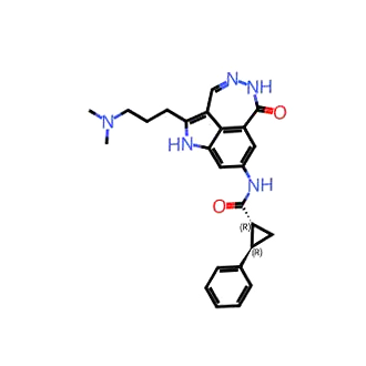 CN(C)CCCc1[nH]c2cc(NC(=O)[C@@H]3C[C@H]3c3ccccc3)cc3c2c1C=NNC3=O